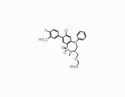 COCOC[C@@H]1CN(c2ccccc2)c2cc(Cl)c(-c3ccc(F)c(C(=O)O)c3)cc2S(=O)(=O)N1C